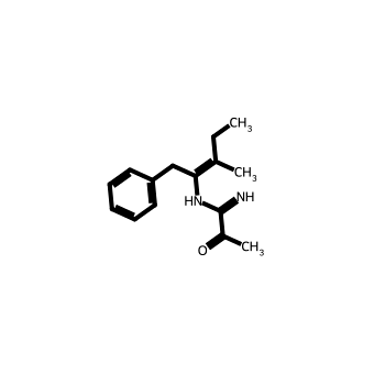 CC/C(C)=C(\Cc1ccccc1)NC(=N)C(C)=O